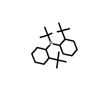 CC(C)(C)C1CCCCC1P(C1CCCCC1C(C)(C)C)C(C)(C)C